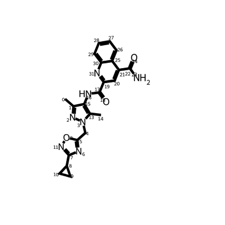 Cc1nn(Cc2nc(C3CC3)no2)c(C)c1NC(=O)c1cc(C(N)=O)c2ccccc2n1